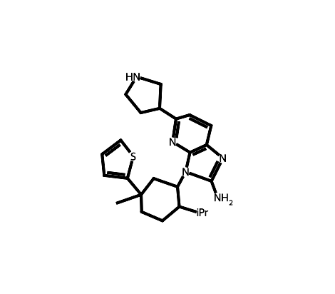 CC(C)C1CCC(C)(c2cccs2)CC1n1c(N)nc2ccc(C3CCNC3)nc21